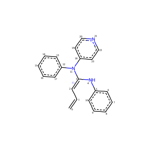 C=C/C=C(\Nc1ccccc1)N(c1ccccc1)c1ccncc1